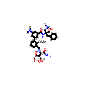 COc1c(CN2O[C@@H](CO)[C@@H]([C@H](C)O)[C@H]2C(N)=O)cccc1-c1cc(C(=O)NC(CO)(Cc2ccccc2)CN(C)C)cc(N(C)C)c1